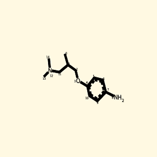 CC(COc1ccc(N)cc1)CN(C)C